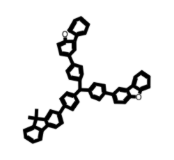 CC1(C)c2ccccc2-c2ccc(-c3ccc(C(c4ccc(-c5ccc6oc7ccccc7c6c5)cc4)c4ccc(-c5ccc6oc7ccccc7c6c5)cc4)cc3)cc21